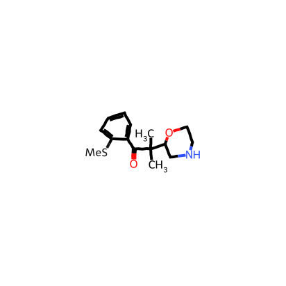 CSc1ccccc1C(=O)C(C)(C)C1CNCCO1